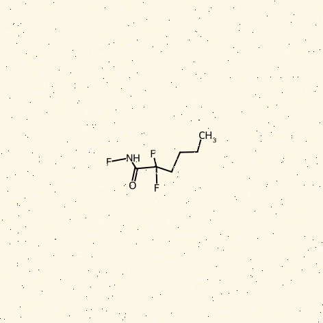 CCCCC(F)(F)C(=O)NF